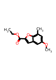 CCOC(=O)c1cc2cc(OC)cc(C)c2o1